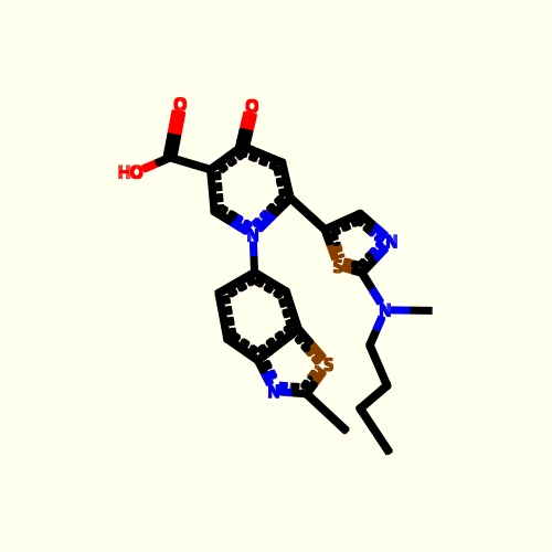 CCCCN(C)c1ncc(-c2cc(=O)c(C(=O)O)cn2-c2ccc3nc(C)sc3c2)s1